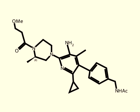 COCCC(=O)N1CCN(c2nc(C3CC3)c(-c3ccc(CNC(C)=O)cc3)c(C)c2N)C[C@H]1C